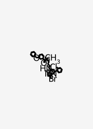 CN(CCCNc1cc(-c2ccccc2Cl)nc2c(Br)cnn12)C(=O)C1C=CC=C(Oc2ccccc2)C1